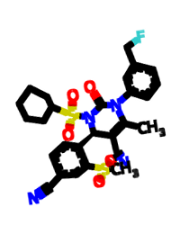 CC1=C(C#N)[C@@H](c2ccc(C#N)cc2S(C)(=O)=O)N(S(=O)(=O)C2CCCCC2)C(=O)N1c1cccc(CF)c1